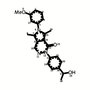 COc1cccc(-n2c(C)c3cnn(-c4ccc(C(C)O)cc4)c(=O)c3c2C)c1